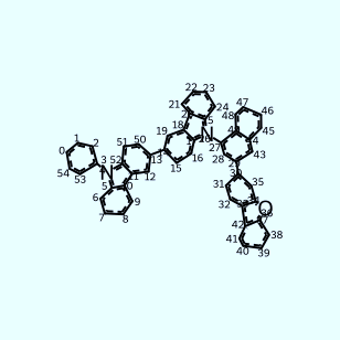 c1ccc(-n2c3ccccc3c3cc(-c4ccc5c(c4)c4ccccc4n5-c4cc(-c5ccc6c(c5)oc5ccccc56)cc5ccccc45)ccc32)cc1